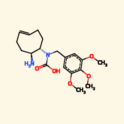 COc1cc(CN(C(=O)O)[C@H]2CC/C=C/CC[C@@H]2N)cc(OC)c1OC